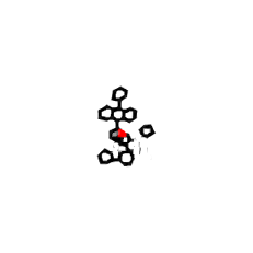 CC1(c2ccccc2Nc2ccccc2)CC=Cc2c1n(-c1ccc(-c3c4ccccc4c(-c4ccccc4)c4ccccc34)cc1)c1ccccc21